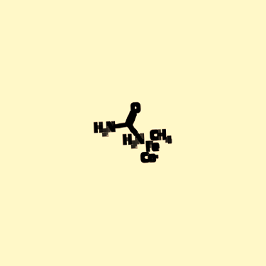 C.NC(N)=O.[Co].[Fe]